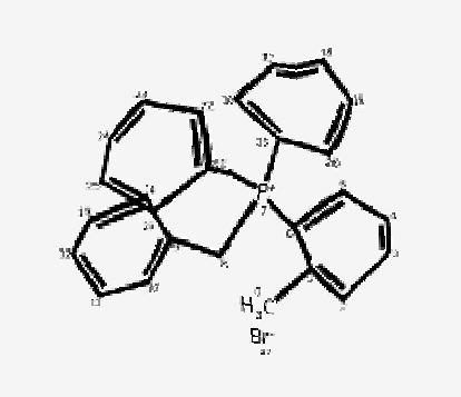 Cc1ccccc1[P+](Cc1ccccc1)(c1ccccc1)c1ccccc1.[Br-]